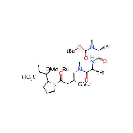 CC[C@H](C)[C@@H]([C@@H](CC(=O)N1CCC[C@H]1C(OC)[C@@H](C)C(=O)O)OC)N(C)C(=O)[C@@H](NC(=O)[C@H](C(C)C)N(C)C(=O)OC(C)(C)C)C(C)C